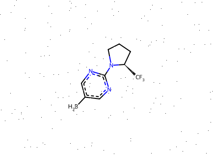 Bc1cnc(N2CCC[C@H]2C(F)(F)F)nc1